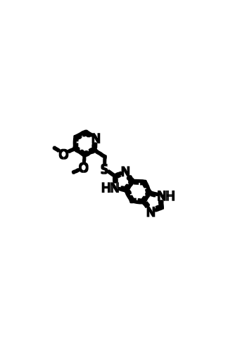 COc1ccnc(CSc2nc3cc4[nH]cnc4cc3[nH]2)c1OC